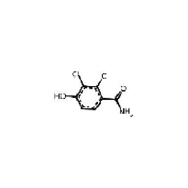 NC(=O)c1ccc(O)c(Cl)c1Cl